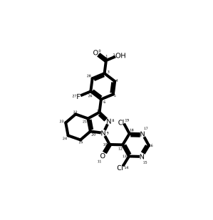 O=C(O)c1ccc(-c2nn(C(=O)c3c(Cl)ncnc3Cl)c3c2CCCC3)c(F)c1